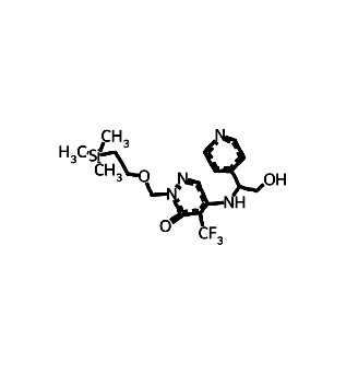 C[Si](C)(C)CCOCn1ncc(NC(CO)c2ccncc2)c(C(F)(F)F)c1=O